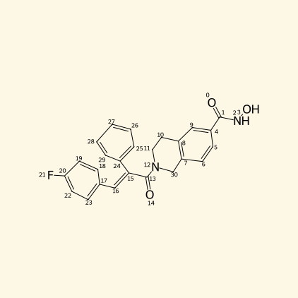 O=C(NO)c1ccc2c(c1)CCN(C(=O)C(=Cc1ccc(F)cc1)c1ccccc1)C2